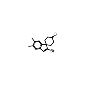 Cc1cc2c(cc1C)C1(CCC(=O)CC1)C(Br)=C2